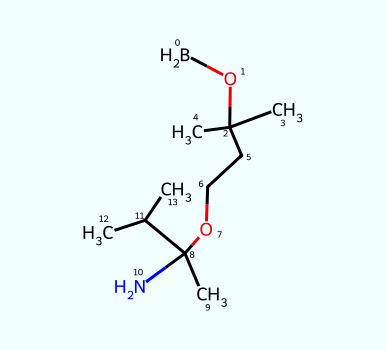 BOC(C)(C)CCOC(C)(N)C(C)C